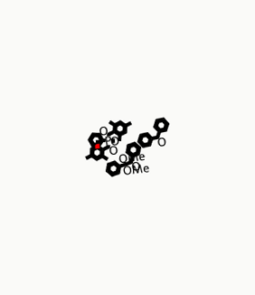 COC(OC)(C(=O)c1ccccc1)c1ccccc1.Cc1cc(C)c(C(=O)P(=O)(C(=O)c2c(C)cc(C)cc2C)c2ccccc2)c(C)c1.O=C(c1ccccc1)c1ccccc1